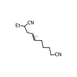 CCC(C#N)C/C=C/CCCCC#N